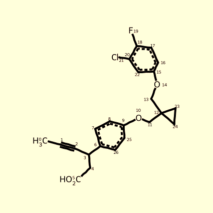 CC#CC(CC(=O)O)c1ccc(OCC2(COc3ccc(F)c(Cl)c3)CC2)cc1